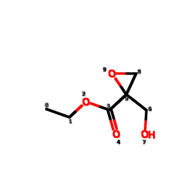 CCOC(=O)C1(CO)CO1